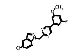 COc1cc(F)cc(-c2cnc(Cn3ncc4cc(Cl)ccc43)nc2)c1